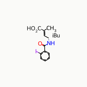 CC[C@H](C)[C@@H](C=C(C)C(=O)O)NC(=O)c1ccccc1I